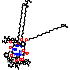 CCCCCCCCCCCCCCCCCCOc1cc(COC(=O)[C@H](COC(C)(C)C)NC(=O)[C@@H](NC(=O)[C@H](Cc2ccccc2)NC(=O)[C@@H](N)C(C)OC(C)(C)C)C(C)OC(C)(C)C)cc(OCCCCCCCCCCCCCCCCCC)c1OCCCCCCCCCCCCCCCCCC